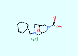 Cl.O=C(O)N1CC2CN(Cc3ccccc3)CC(C1)O2